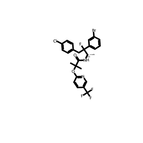 C[C@H](NC(=O)C(C)(C)Oc1ccc(C(F)(F)F)cn1)C(F)(Cc1ccc(Cl)cc1)c1cccc(Br)c1